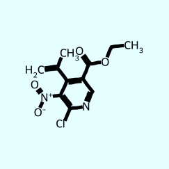 C=C(C)c1c(C(=O)OCC)cnc(Cl)c1[N+](=O)[O-]